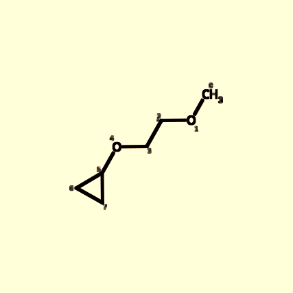 CO[CH]COC1CC1